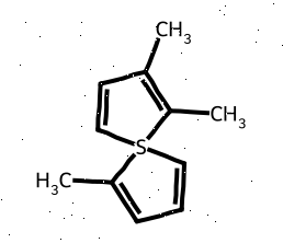 CC1=CC=CS12C=CC(C)=C2C